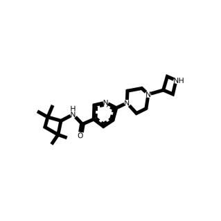 CC1(C)CC(C)(C)C1NC(=O)c1ccc(N2CCN(C3CNC3)CC2)nc1